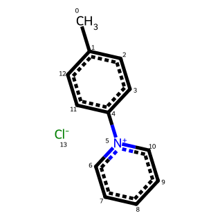 Cc1ccc(-[n+]2ccccc2)cc1.[Cl-]